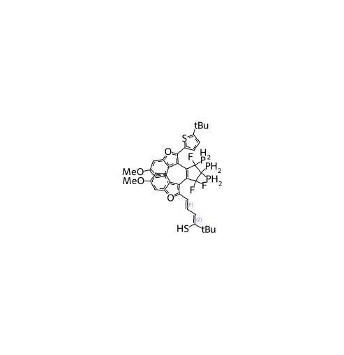 COc1ccc2c(C3=C(c4c(-c5ccc(C(C)(C)C)s5)oc5cc(OC)ccc45)C(F)(P)C(P)(P)C3(F)F)c(/C=C/C=C(\S)C(C)(C)C)oc2c1